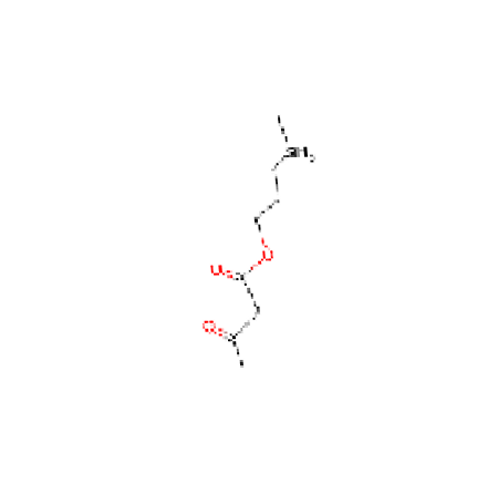 C[SiH2]CCCOC(=O)CC(C)=O